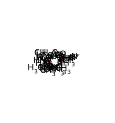 C=CCOC(=O)NCC1CC(N(C)C)C(O)[C@H](O[C@@H]2[C@@H](C)C(=O)[C@@H](C)C(=O)O[C@H](CC)[C@@]3(C)OC(=O)N(CCCCN=[N+]=[N-])[C@@H]3[C@@H](C)NC[C@H](C)C[C@@]2(C)OC)O1